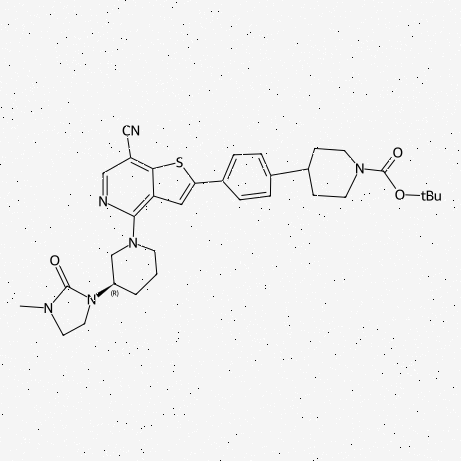 CN1CCN([C@@H]2CCCN(c3ncc(C#N)c4sc(-c5ccc(C6CCN(C(=O)OC(C)(C)C)CC6)cc5)cc34)C2)C1=O